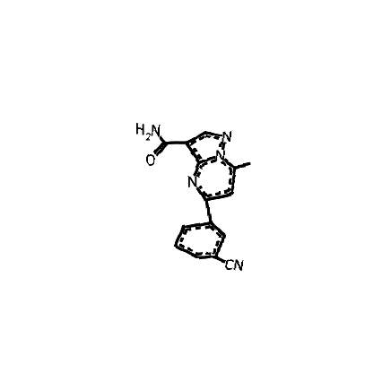 Cc1cc(-c2cccc(C#N)c2)nc2c(C(N)=O)cnn12